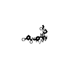 C=CC(=O)N1CCC[C@@H](n2nc(-c3ccc(CNC(=O)c4cccc(Cl)c4)cc3)c3c(N)ncnc32)C1